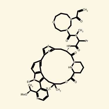 C=CC(=O)N1CCCOCCN(C(=O)N(C)C(C(=O)N[C@H]2Cc3nc(cs3)-c3ccc4c(c3)c(c(-c3cccnc3[C@H](C)OC)n4CC)CC(C)(C)COC(=O)[C@@H]3CCCN(N3)C2=O)C(C)C)C1